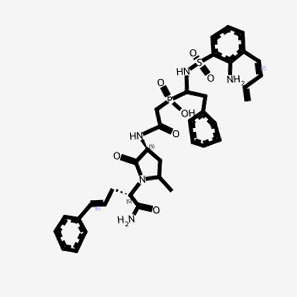 C=C/C=C\c1cccc(S(=O)(=O)NC(Cc2ccccc2)P(=O)(O)CC(=O)N[C@H]2CC(C)N([C@@H](C/C=C/c3ccccc3)C(N)=O)C2=O)c1N